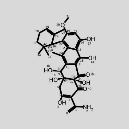 C=C(N)C1=C(O)C[C@]2(O)[C@@H](O)c3c(c(O)c4c(O)cc(OC)c5c4c3C[C@]53C(C)=CCCC3(C)C)C(=O)[C@]2(O)C1=O